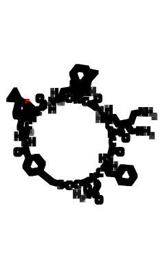 NCCCC[C@H]1CN(C(=O)CCCN)CC(=O)N[C@@H](Cc2ccccc2)CN(CC(N)=O)C(=O)CCSCc2ccc(cc2)C(=O)N[C@@H](Cc2ccccc2)CN(C(=O)CC2CC2)CC(=O)N[C@@H](Cc2c[nH]c3ccccc23)CN(C(=O)CC2CC2)CC(=O)N1